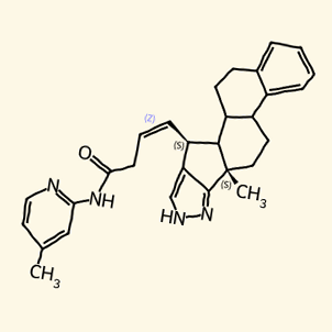 Cc1ccnc(NC(=O)C/C=C\[C@@H]2c3c[nH]nc3[C@@]3(C)CCC4c5ccccc5CCC4C23)c1